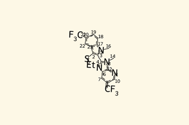 CCSc1c(-c2nc3cc(C(F)(F)F)cnc3n2C)n(C)c2ccc(C(F)(F)F)cc12